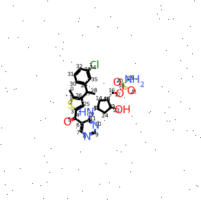 Cc1sc(C(=O)c2cncnc2N[C@@H]2C[C@H](COS(N)(=O)=O)[C@@H](O)C2)cc1C(C)c1cccc(Cl)c1